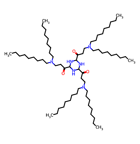 CCCCCCCCCN(CCCCCCCCC)CCC(=O)C1NC(C(=O)CCN(CCCCCCCCC)CCCCCCCCC)NC(C(=O)CCN(CCCCCCCCC)CCCCCCCCC)N1